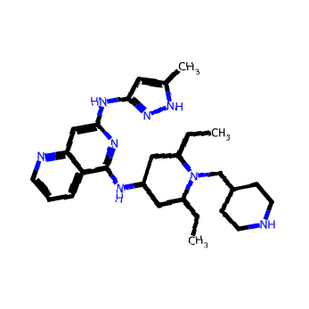 CCC1CC(Nc2nc(Nc3cc(C)[nH]n3)cc3ncccc23)CC(CC)N1CC1CCNCC1